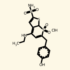 CCNC1=C2C=C(S(N)(=O)=O)SC2S(=O)(=O)C(Cc2ccc(O)cc2)=C1.Cl